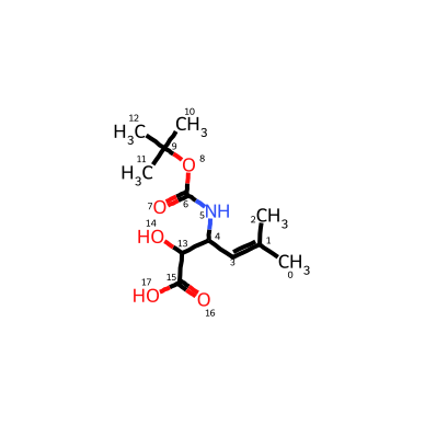 CC(C)=CC(NC(=O)OC(C)(C)C)C(O)C(=O)O